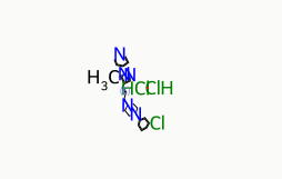 Cc1c(/C=C/CN2CCN(c3cccc(Cl)c3)CC2)cnn1-c1ccncc1.Cl.Cl